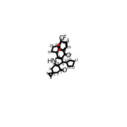 O=C1CC2(CC2)CC2=C1C(C1CCCC1)C(C(=O)c1ccc(C(F)(F)F)cc1)=C(C1CCCC1)N2